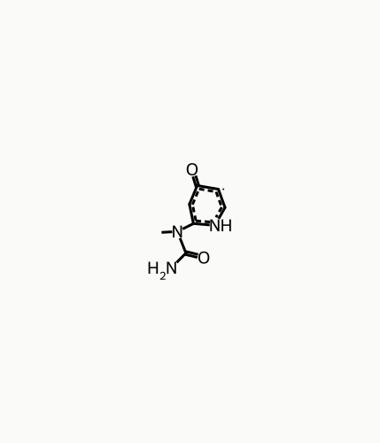 CN(C(N)=O)c1cc(=O)[c]c[nH]1